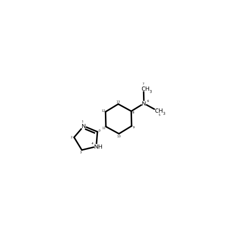 C1=NCCN1.CN(C)C1CCCCC1